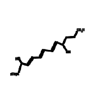 CCCCCCCC(O)C=CC=CC=CC(O)CCC(=O)O